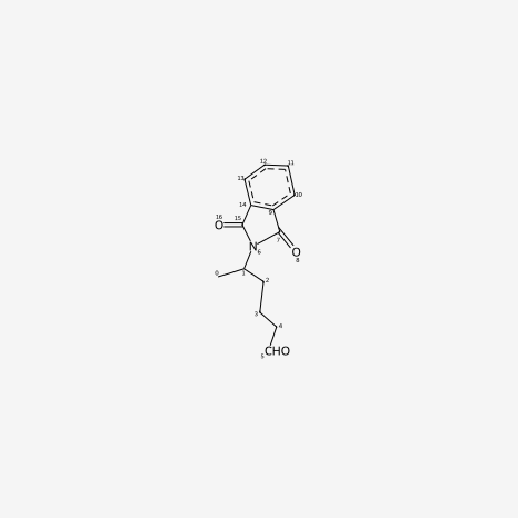 CC(CCCC=O)N1C(=O)c2ccccc2C1=O